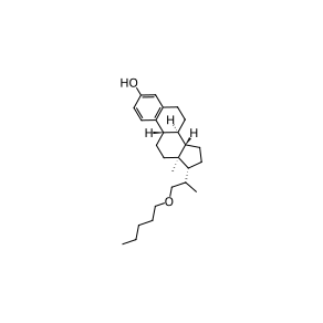 CCCCCOCC(C)[C@H]1CC[C@H]2[C@@H]3CCc4cc(O)ccc4[C@H]3CC[C@]12C